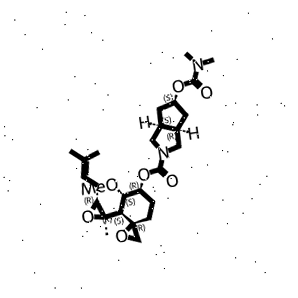 CO[C@@H]1[C@H](OC(=O)N2C[C@H]3C[C@H](OC(=O)N(C)C)C[C@H]3C2)CC[C@]2(CO2)[C@H]1[C@@]1(C)O[C@@H]1CC=C(C)C